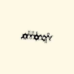 Cc1ccc(NC(=O)Nc2cccc(CN3CCN[C@H](C(=O)N(C)C)C3)c2F)cn1